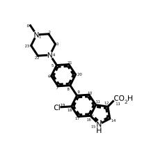 CN1CCN(c2ccc(-c3cc4c(C(=O)O)c[nH]c4cc3Cl)cc2)CC1